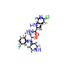 O=C(N[C@@H](Cc1ccc(F)cc1)C(=O)NC1CCNCC1)c1cc2cc(Cl)ncc2[nH]1